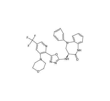 O=C1Nc2ccccc2N(c2ccccc2)C[C@@H]1Nc1nnc(-c2ncc(C(F)(F)F)cc2N2CCOCC2)o1